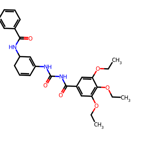 CCOc1cc(C(=O)NC(=O)NC2=CC(NC(=O)c3ccccc3)CC=C2)cc(OCC)c1OCC